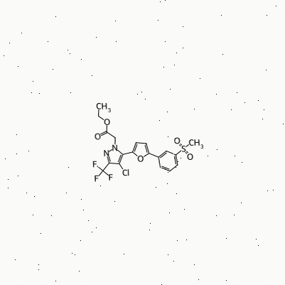 CCOC(=O)Cn1nc(C(F)(F)F)c(Cl)c1-c1ccc(-c2cccc(S(C)(=O)=O)c2)o1